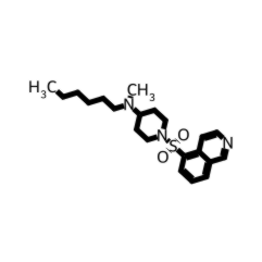 CCCCCCN(C)C1CCN(S(=O)(=O)c2cccc3cnccc23)CC1